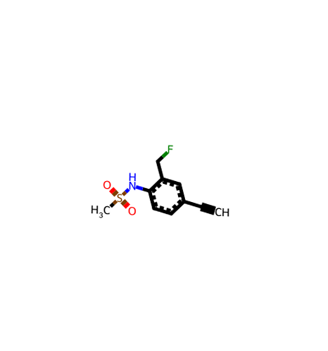 C#Cc1ccc(NS(C)(=O)=O)c(CF)c1